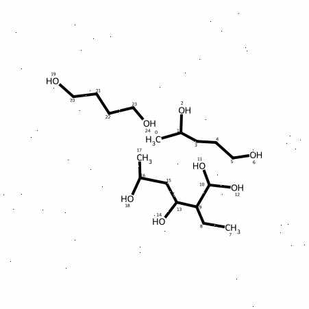 CC(O)CCCO.CCC(C(O)O)C(O)CC(C)O.OCCCCO